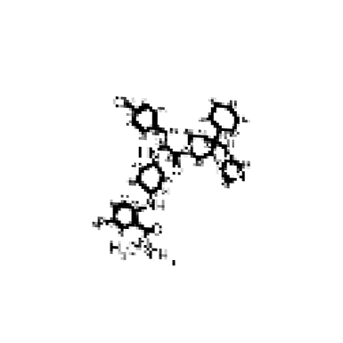 CN(C)C(=O)c1cc(F)ccc1N[C@H]1CC[C@@H](N[C@H](Cc2ccc(Cl)cc2)C(=O)N2CCC(Cn3cncn3)(C3CCCCC3)CC2)CC1